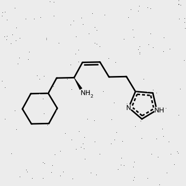 N[C@H](/C=C\CCc1c[nH]cn1)CC1CCCCC1